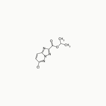 CC(C)OC(=O)c1nc2ccc(Cl)nn2n1